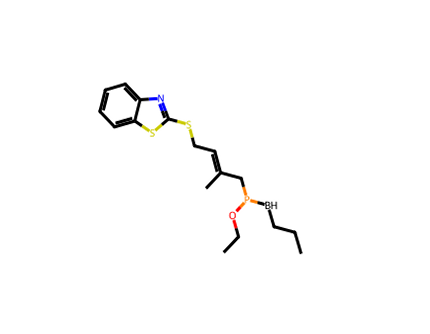 CCCBP(C/C(C)=C/CSc1nc2ccccc2s1)OCC